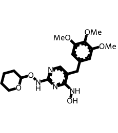 COc1cc(Cc2cnc(NOC3CCCCO3)nc2NO)cc(OC)c1OC